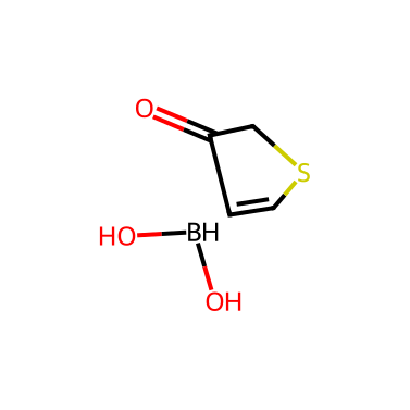 O=C1C=CSC1.OBO